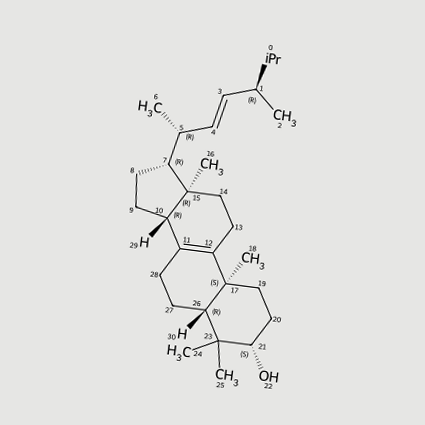 CC(C)[C@@H](C)C=C[C@@H](C)[C@H]1CC[C@H]2C3=C(CC[C@]12C)[C@@]1(C)CC[C@H](O)C(C)(C)[C@@H]1CC3